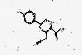 N#CCc1nc(-c2ccc(Cl)cc2)cnc1C(=O)O